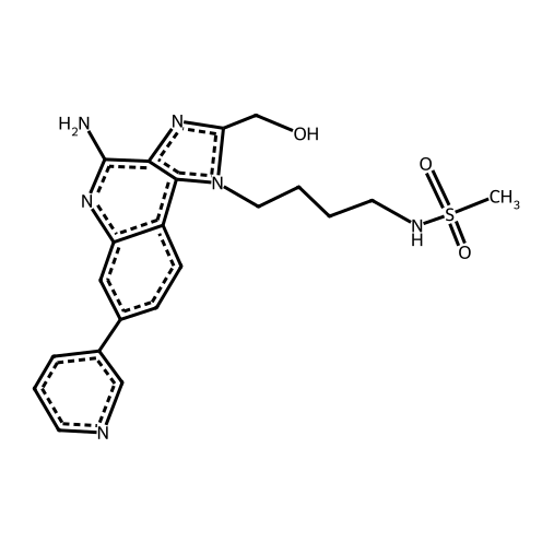 CS(=O)(=O)NCCCCn1c(CO)nc2c(N)nc3cc(-c4cccnc4)ccc3c21